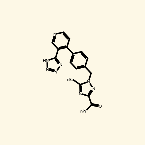 CCCCc1nc(C(=O)CCC)nn1Cc1ccc(-c2ccncc2-c2nnn[nH]2)cc1